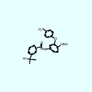 COc1ccc(NC(=O)c2cccc(C(C)(C)C#N)c2)cc1Oc1ccc([N+](=O)[O-])cc1